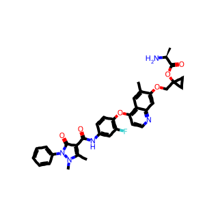 Cc1cc2c(Oc3ccc(NC(=O)c4c(C)n(C)n(-c5ccccc5)c4=O)cc3F)ccnc2cc1OCC1(OC(=O)[C@H](C)N)CC1